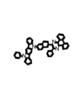 c1ccc(-c2nc3c4ccccc4c4ccccc4c3nc2-c2ccc3cc(-n4c5ccccc5c5cc6c(cc54)c4ccccc4n6-c4ccccc4)ccc3c2)cc1